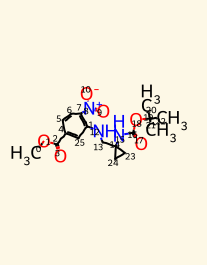 COC(=O)c1ccc([N+](=O)[O-])c(NCC2(NC(=O)OC(C)(C)C)CC2)c1